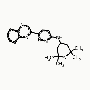 CC1(C)CC(Nc2ccc(-c3cnc4ccccc4n3)nn2)CC(C)(C)N1